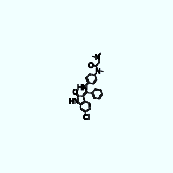 CN(C)CC(=O)N(C)c1ccc(N/C(=C2\C(=O)Nc3cc(Cl)ccc32)c2ccccc2)cc1